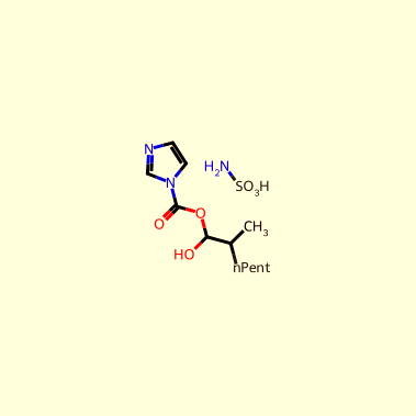 CCCCCC(C)C(O)OC(=O)n1ccnc1.NS(=O)(=O)O